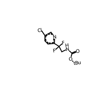 CC(C)(C)OC(=O)NCC(F)(F)c1ccc(Cl)cn1